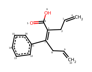 C=CCC(C(=O)O)=C(CC=C)c1ccccc1